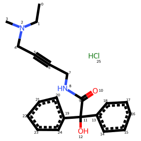 CCN(C)CC#CCNC(=O)C(O)(c1ccccc1)c1ccccc1.Cl